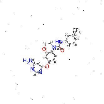 Nc1cc(Oc2ccc3c(c2)OCCN3C(=O)Nc2cccc(C(F)(F)F)c2)ncn1